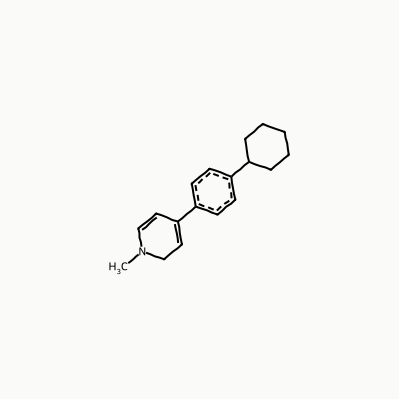 CN1C=CC(c2ccc(C3CCCCC3)cc2)=CC1